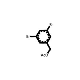 CC(=O)OCc1cc(Br)cc(Br)c1